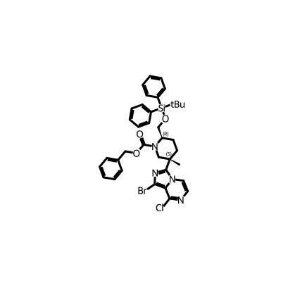 CC(C)(C)[Si](OC[C@H]1CC[C@](C)(c2nc(Br)c3c(Cl)nccn23)CN1C(=O)OCc1ccccc1)(c1ccccc1)c1ccccc1